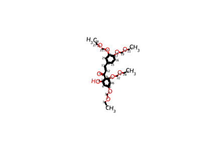 CCOCOc1cc(O)c(C(=O)C=Cc2ccc(OCOCC)c(OCOCC)c2)c(OCOCC)c1